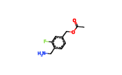 CC(=O)OCc1ccc(CN)c(F)c1